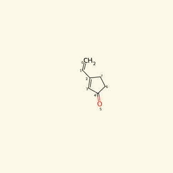 C=CC1=CC(=O)CC1